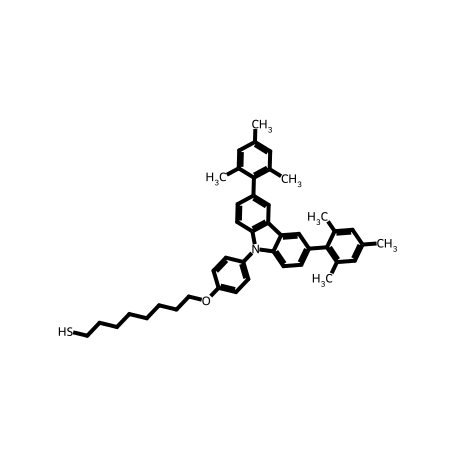 Cc1cc(C)c(-c2ccc3c(c2)c2cc(-c4c(C)cc(C)cc4C)ccc2n3-c2ccc(OCCCCCCCCS)cc2)c(C)c1